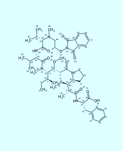 CC[C@H](C)[C@@H]([C@@H](CC(=O)N1CCC[C@H]1[C@H](OC)[C@@H](C)C(=O)N[C@@H](Cc1ccccc1)C(=O)O)OC)N(C)C(=O)[C@@H](NC(=O)[C@H](C(C)C)N(C)CCON1C(=O)c2ccccc2C1=O)C(C)C